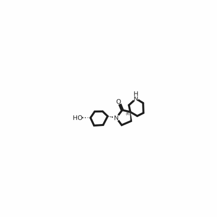 O=C1N([C@H]2CC[C@@H](O)CC2)CC[C@@]12CCCNC2